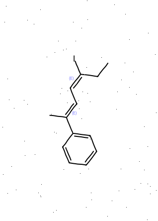 CC/C(I)=C\C=C(/C)c1ccccc1